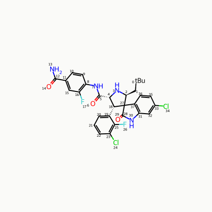 CC(C)(C)C[C@@H]1N[C@@H](C(=O)Nc2ccc(C(N)=O)cc2F)[C@@H](c2cccc(Cl)c2F)C12C(=O)Nc1cc(Cl)ccc12